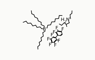 CCCCCCCCC[B-](CCCCCCCCC)(CCCCCCCCC)CCCCCCCCC.CCCC[NH2+]CC(C)CCC.Fc1ccc(-c2c(F)c(F)c(F)c(F)c2F)c(F)c1F